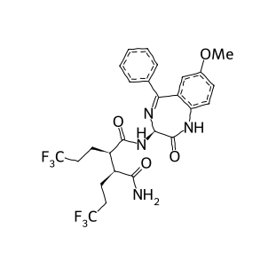 COc1ccc2c(c1)C(c1ccccc1)=N[C@H](NC(=O)[C@H](CCC(F)(F)F)[C@H](CCC(F)(F)F)C(N)=O)C(=O)N2